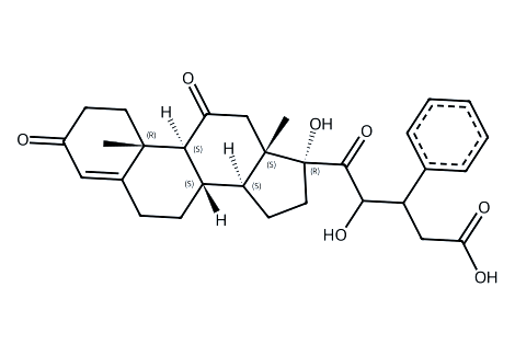 C[C@]12CCC(=O)C=C1CC[C@@H]1[C@@H]2C(=O)C[C@@]2(C)[C@H]1CC[C@]2(O)C(=O)C(O)C(CC(=O)O)c1ccccc1